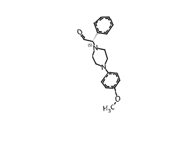 COc1ccc(N2CCN([C@H](C=O)c3ccccc3)CC2)cc1